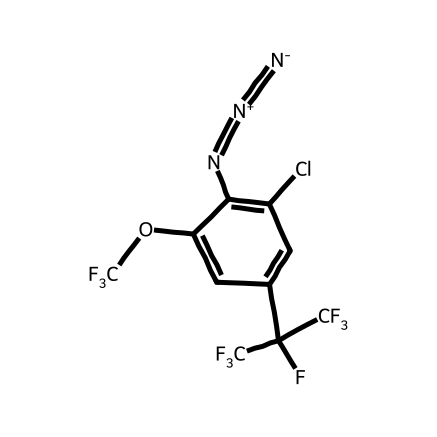 [N-]=[N+]=Nc1c(Cl)cc(C(F)(C(F)(F)F)C(F)(F)F)cc1OC(F)(F)F